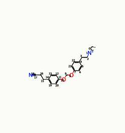 [C-]#[N+]CCc1ccc(OCOc2ccc(CCC#N)cc2)cc1